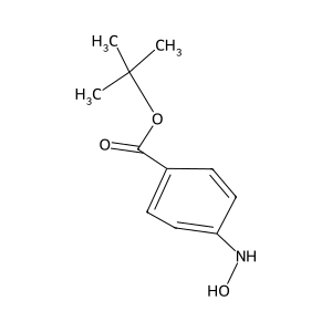 CC(C)(C)OC(=O)c1ccc(NO)cc1